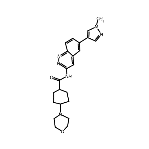 Cn1cc(-c2ccc3nnc(NC(=O)C4CCC(N5CCOCC5)CC4)cc3c2)cn1